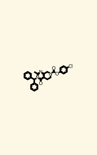 Cc1nc2c(c(=O)n1C(c1ccccc1)c1ccccc1)CCN(C(=O)Oc1ccc(Cl)cc1)C2